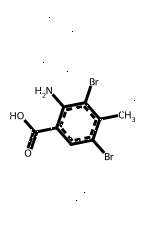 Cc1c(Br)cc(C(=O)O)c(N)c1Br